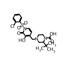 CC(C)(C)C1CN(Cc2ccn(S(=O)(=O)c3ccccc3Cl)c(=O)c2O)CCN1C(=O)O